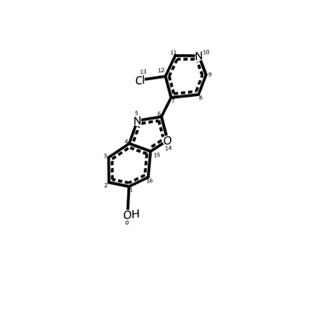 Oc1ccc2nc(-c3ccncc3Cl)oc2c1